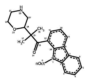 CCCCCCCCn1c2ccccc2c2cccc(C(=O)C(C)(C)C3CNCCO3)c21